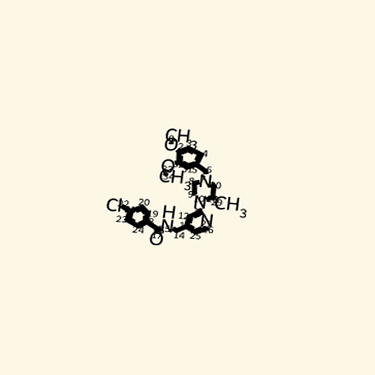 COc1ccc(CN2CCN(c3cc(CNC(=O)c4ccc(Cl)cc4)ccn3)C(C)C2)cc1OC